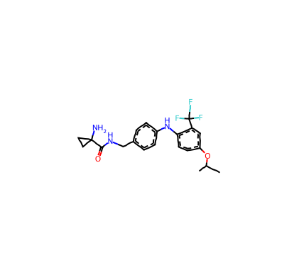 CC(C)Oc1ccc(Nc2ccc(CNC(=O)C3(N)CC3)cc2)c(C(F)(F)F)c1